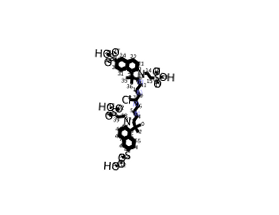 CC1(C)C(/C=C/C=C(Cl)/C=C/C=C2/N(CCS(=O)(=O)O)c3ccc4cc(S(=O)(=O)O)ccc4c3C2(C)C)=[N+](CCS(=O)(=O)O)c2ccc3cc(SOOO)ccc3c21